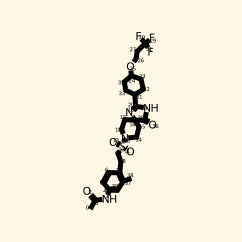 CC(=O)Nc1ccc(CCS(=O)(=O)N2CCC3(CC2)N=C(C2CCC(OCCC(F)(F)F)CC2)NC3=O)c(C)c1